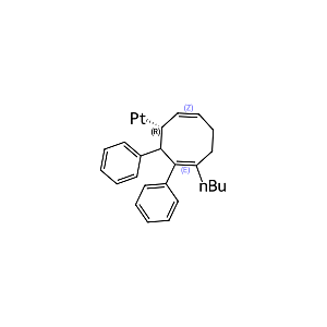 CCCC/C1=C(\c2ccccc2)C(c2ccccc2)[C@H]([Pt])/C=C\CC1